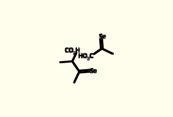 CC(=[Se])C(=O)O.CC(=[Se])C(C)C(=O)O